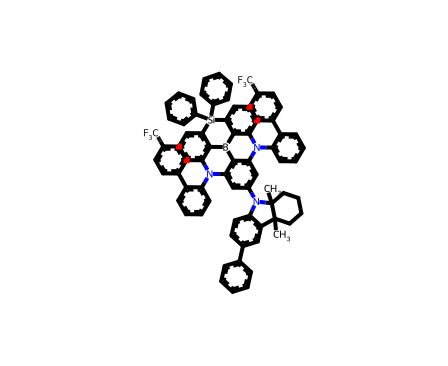 CC12CCCCC1(C)N(c1cc3c4c(c1)N(c1ccccc1-c1ccc(C(F)(F)F)cc1)c1cccc5c1B4c1c(cccc1[Si]5(c1ccccc1)c1ccccc1)N3c1ccccc1-c1ccc(C(F)(F)F)cc1)c1ccc(-c3ccccc3)cc12